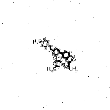 Cc1nc(N2C[C@@H](C)O[C@@H](C)C2)n2c1cnc1ccc(-c3ccc(CCN4CCN(C)CC4)nc3)cc12